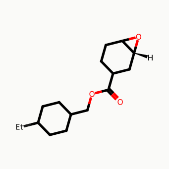 CCC1CCC(COC(=O)C2CCC3O[C@@H]3C2)CC1